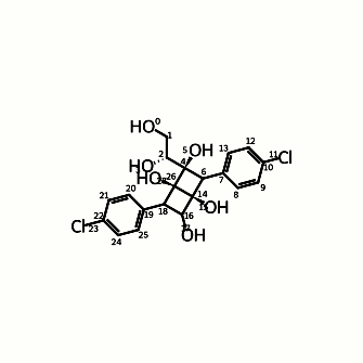 OC[C@@H](O)[C@]1(O)C(c2ccc(Cl)cc2)[C@]2(O)C(O)C(c3ccc(Cl)cc3)[C@@]21O